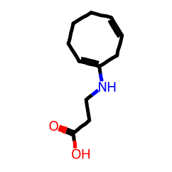 O=C(O)CCN/C1=C/CCC/C=C\C1